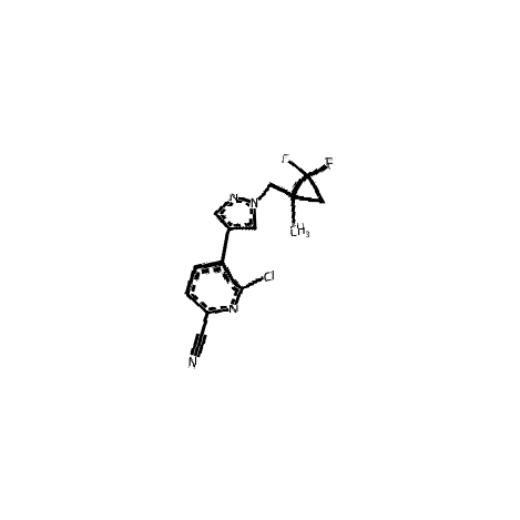 CC1(Cn2cc(-c3ccc(C#N)nc3Cl)cn2)CC1(F)F